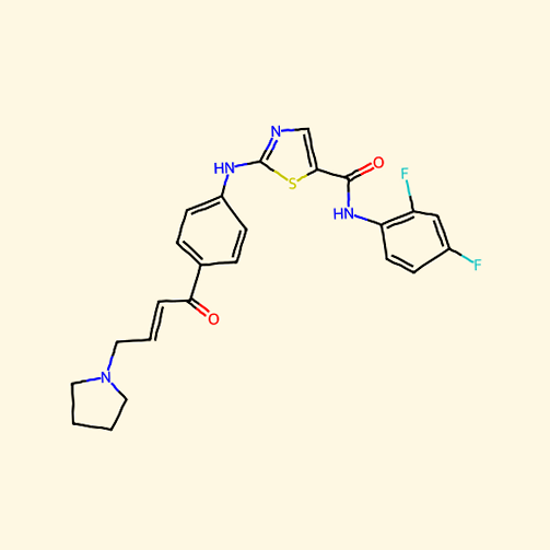 O=C(/C=C/CN1CCCC1)c1ccc(Nc2ncc(C(=O)Nc3ccc(F)cc3F)s2)cc1